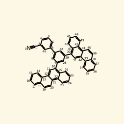 N#Cc1cccc(-c2cc(-c3cc4c5ccccc5ccc4c4ccccc34)cc(-c3cc4c5ccccc5ccc4c4ccccc34)c2)c1